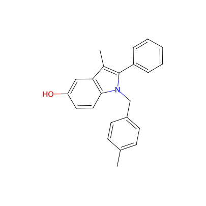 Cc1ccc(Cn2c(-c3ccccc3)c(C)c3cc(O)ccc32)cc1